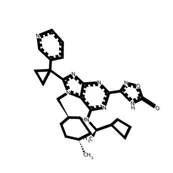 C[C@@H](Nc1nc(-c2noc(=O)[nH]2)nc2nc(C3(c4cccnc4)CC3)n(C[C@H]3CC[C@H](C)CC3)c12)C1CCC1